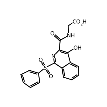 O=C(O)CNC(=O)c1nc(S(=O)(=O)c2ccccc2)c2ccccc2c1O